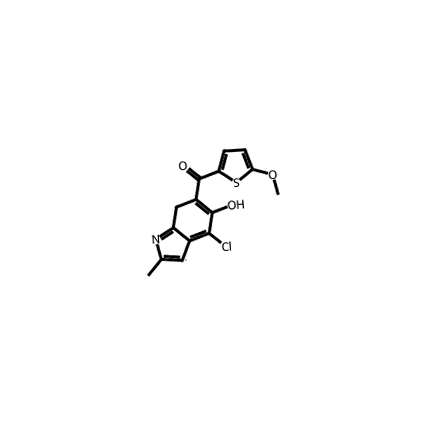 COc1ccc(C(=O)C2=C(O)C(Cl)=C3[C]=C(C)N=C3C2)s1